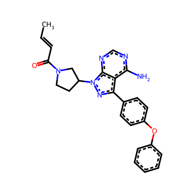 CC=CC(=O)N1CCC(n2nc(-c3ccc(Oc4ccccc4)cc3)c3c(N)ncnc32)C1